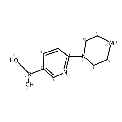 OB(O)c1ccc(N2CCNCC2)nc1